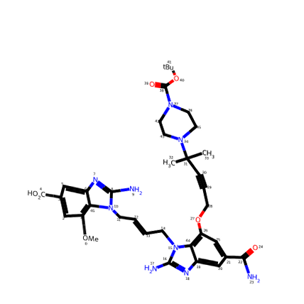 COc1cc(C(=O)O)cc2nc(N)n(C/C=C/Cn3c(N)nc4cc(C(N)=O)cc(OCC#CC(C)(C)N5CCN(C(=O)OC(C)(C)C)CC5)c43)c12